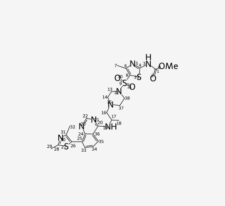 COC(=O)Nc1nc(C)c(S(=O)(=O)N2CCN(CC(C)Nc3ncnc4c(-c5sc(C)nc5C)cccc34)CC2)s1